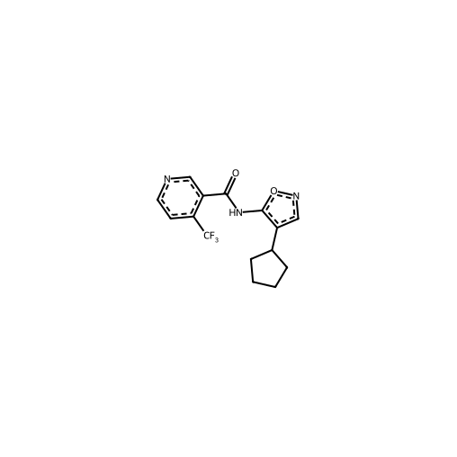 O=C(Nc1oncc1C1CCCC1)c1cnccc1C(F)(F)F